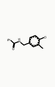 [CH2]c1cc(CNC(=O)C(C)C)ccc1Cl